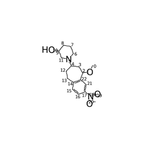 COC1CC(N2CCCC(O)C2)CCc2ccc([N+](=O)[O-])cc21